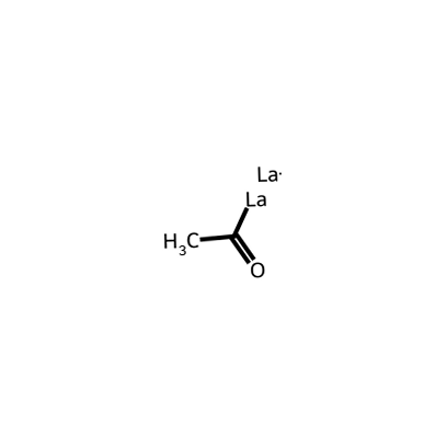 C[C](=O)[La].[La]